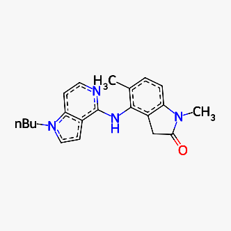 CCCCn1ccc2c(Nc3c(C)ccc4c3CC(=O)N4C)nccc21